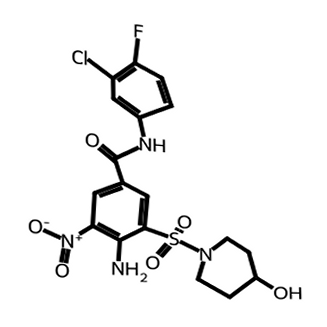 Nc1c([N+](=O)[O-])cc(C(=O)Nc2ccc(F)c(Cl)c2)cc1S(=O)(=O)N1CCC(O)CC1